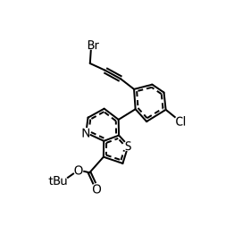 CC(C)(C)OC(=O)c1csc2c(-c3cc(Cl)ccc3C#CCBr)ccnc12